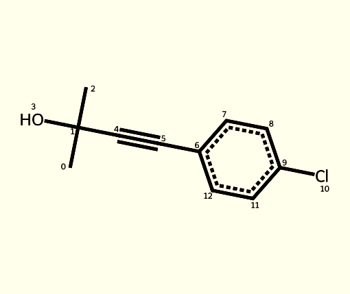 CC(C)(O)C#Cc1ccc(Cl)cc1